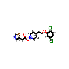 O=C(Cc1cncs1)ON1CCC(CCOc2cc(Cl)ccc2Cl)CC1